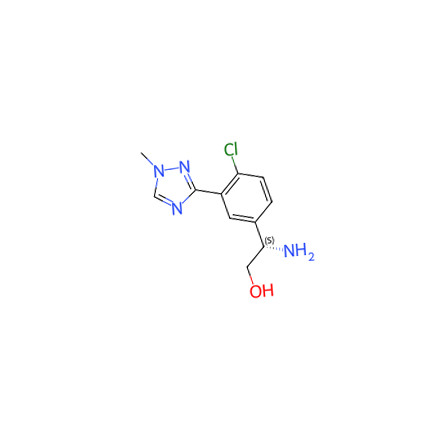 Cn1cnc(-c2cc([C@H](N)CO)ccc2Cl)n1